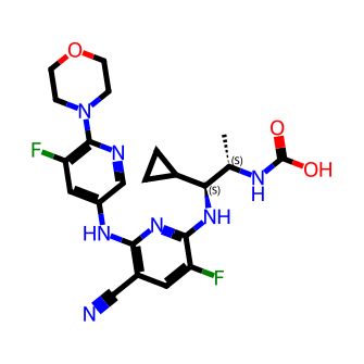 C[C@H](NC(=O)O)[C@@H](Nc1nc(Nc2cnc(N3CCOCC3)c(F)c2)c(C#N)cc1F)C1CC1